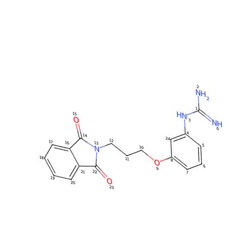 N=C(N)Nc1cccc(OCCCN2C(=O)c3ccccc3C2=O)c1